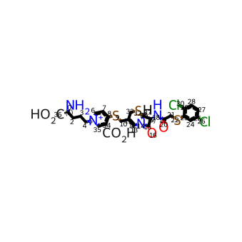 N[C@@H](CCC[n+]1ccc(SCC2=C(C(=O)O)N3C(=O)[C@H](NC(=O)CSc4cc(Cl)ccc4Cl)[C@H]3SC2)cc1)C(=O)O